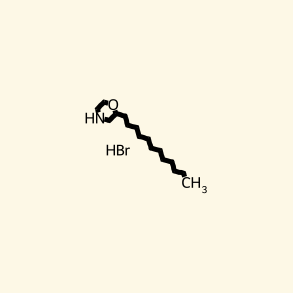 Br.CCCCCCCCCCCCC1CNCCO1